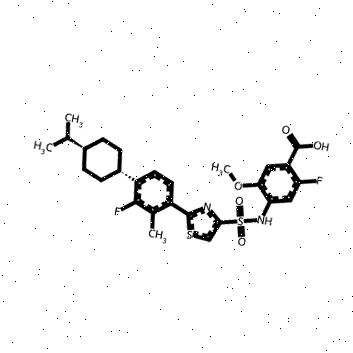 COc1cc(C(=O)O)c(F)cc1NS(=O)(=O)c1csc(-c2ccc([C@H]3CC[C@H](C(C)C)CC3)c(F)c2C)n1